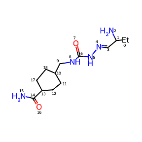 CCC(N)/C=N/NC(=O)NCC1CCC(C(N)=O)CC1